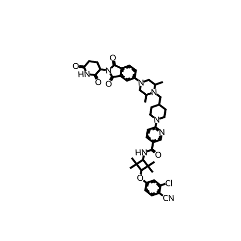 CC1CN(c2ccc3c(c2)C(=O)N(C2CCC(=O)NC2=O)C3=O)CC(C)N1CC1CCN(c2ccc(C(=O)NC3C(C)(C)C(Oc4ccc(C#N)c(Cl)c4)C3(C)C)cn2)CC1